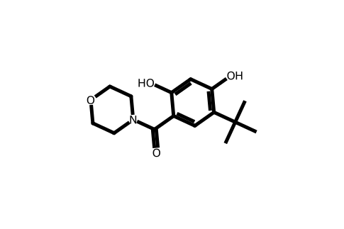 CC(C)(C)c1cc(C(=O)N2CCOCC2)c(O)cc1O